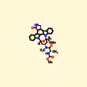 CO[C@@H]1[C@H](N(C)C(=O)[C@H](C)NC(=O)OC(C)(C)C)C[C@H]2O[C@]1(C)n1c3ccccc3c3c4c(c5c6ccccc6n2c5c31)C(=O)NC4